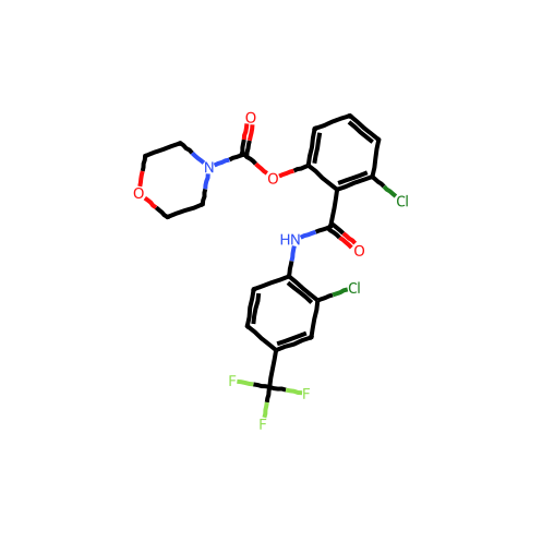 O=C(Nc1ccc(C(F)(F)F)cc1Cl)c1c(Cl)cccc1OC(=O)N1CCOCC1